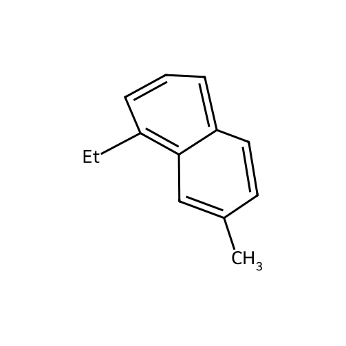 CCc1cccc2ccc(C)cc12